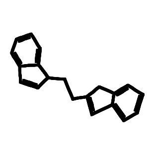 C1=CC(CCC2=Cc3ccccc3C2)c2ccccc21